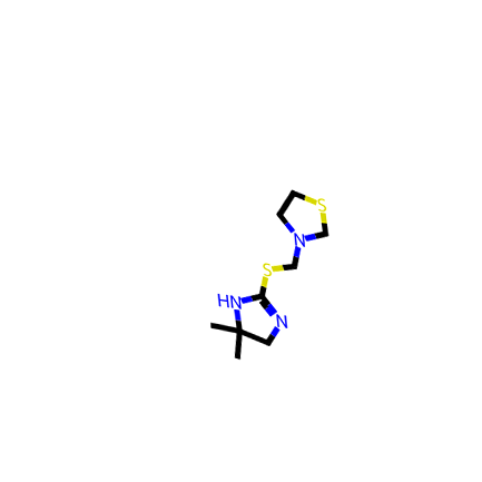 CC1(C)CN=C(SCN2CCSC2)N1